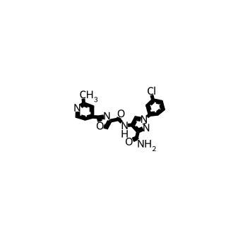 Cc1cc(-c2nc(C(=O)Nc3cn(-c4cccc(Cl)c4)nc3C(N)=O)co2)ccn1